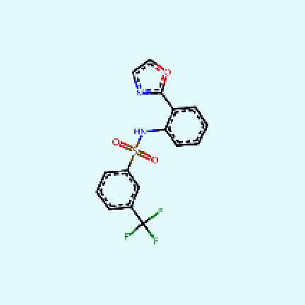 O=S(=O)(Nc1ccccc1-c1ncco1)c1cccc(C(F)(F)F)c1